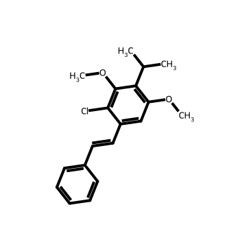 COc1cc(/C=C/c2ccccc2)c(Cl)c(OC)c1C(C)C